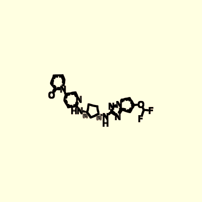 O=c1ccccn1-c1ccc(N[C@H]2CC[C@H](Nc3nc4cc(OC(F)F)ccn4n3)C2)nc1